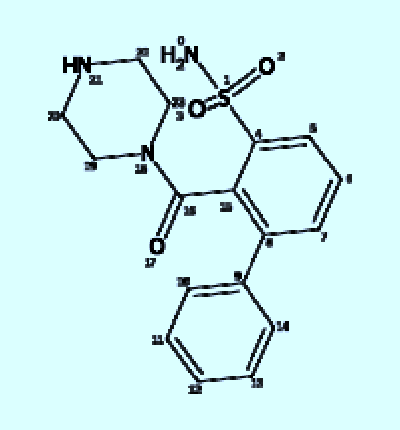 NS(=O)(=O)c1cccc(-c2ccccc2)c1C(=O)N1CCNCC1